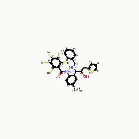 Cc1ccc(NC(=O)c2c(F)c(F)c(F)c(F)c2F)c(C(NCc2ccccc2)C(O)Cc2cccs2)c1